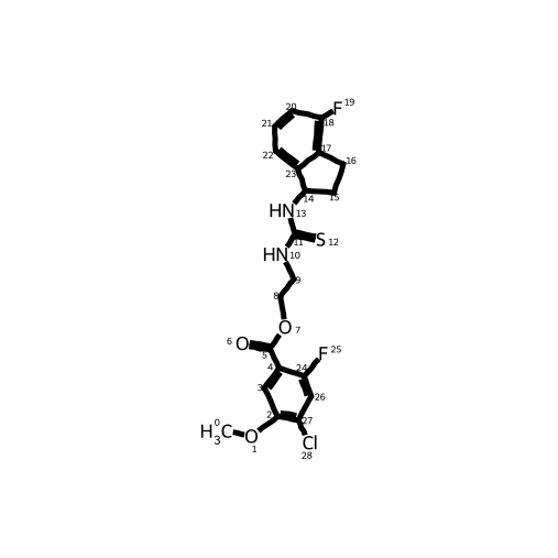 COc1cc(C(=O)OCCNC(=S)NC2CCc3c(F)cccc32)c(F)cc1Cl